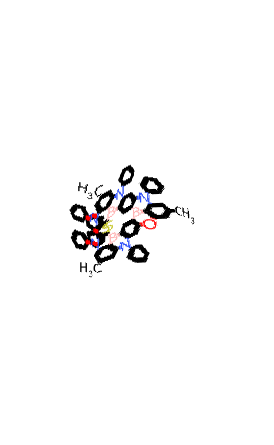 Cc1cc2c3c(c1)N(c1ccccc1)c1cc4c(cc1B3c1cc3c(cc1O2)N(c1ccccc1)c1cc(C)cc2c1B3c1sc3ccccc3c1N2c1ccccc1)B1c2sc3ccccc3c2N(c2ccccc2)c2cc(C)cc(c21)N4c1ccccc1